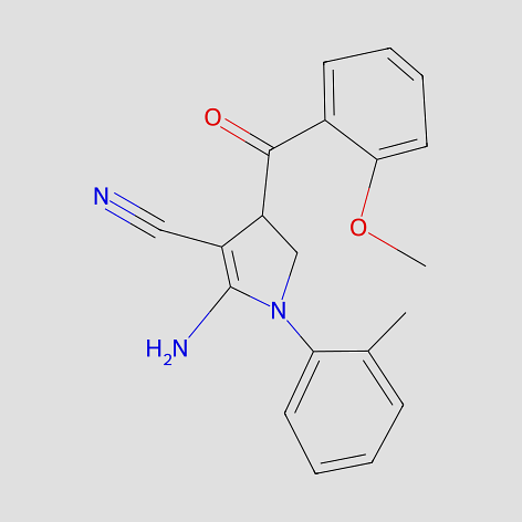 COc1ccccc1C(=O)C1CN(c2ccccc2C)C(N)=C1C#N